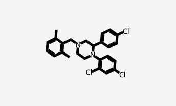 Cc1cccc(C)c1CN1CCN(c2ccc(Cl)cc2Cl)C(c2ccc(Cl)cc2)C1